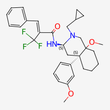 COc1cccc([C@@]23CCCCC2(OC)CN(CC2CC2)[C@H](NC(=O)C(=Cc2ccccc2)C(F)(F)F)C3)c1